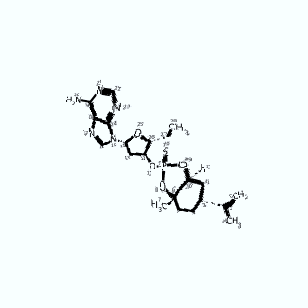 C=C(C)[C@@H]1CC[C@]2(C)O[P@](=S)(O[C@H]3C[C@H](n4cnc5c(N)ncnc54)O[C@@H]3CC)O[C@H]2C1